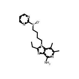 CCc1nc2c(N)nc(C)c(C)c2n1CCCC[S+]([O-])c1ncccn1